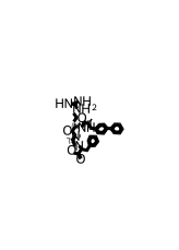 CC(=O)C(Cc1ccccc1)N(C)C(=O)[C@H](C)N(C)C(=O)[C@H](CCCNC(=N)N)NC(=O)[C@@H](C)Cc1ccc(-c2ccccc2)cc1